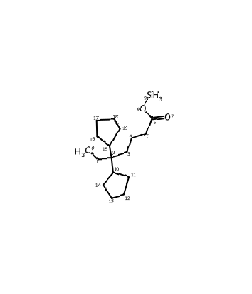 CCC(CCCC(=O)O[SiH3])(C1CCCC1)C1CCCC1